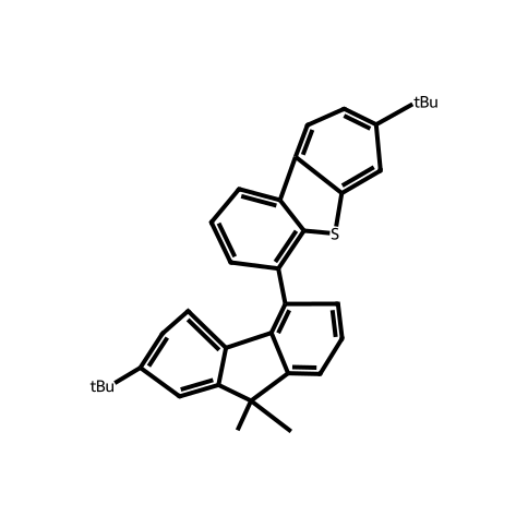 CC(C)(C)c1ccc2c(c1)C(C)(C)c1cccc(-c3cccc4c3sc3cc(C(C)(C)C)ccc34)c1-2